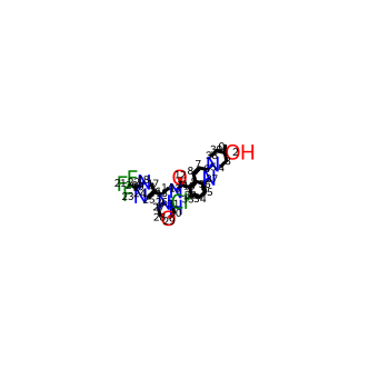 CC1(O)CCN(c2ccc3c(C(=O)NCC(c4cnc(C(F)(F)F)nc4)N4CCOCC4)c(Cl)ccc3n2)CC1